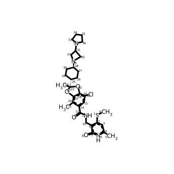 CSc1cc(C)[nH]c(=O)c1CNC(=O)c1cc(Cl)c2c(c1C)OC(C)([C@H]1CC[C@H](N3CC(N4CCCC4)C3)CC1)O2